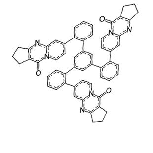 O=c1c2c(nc3cc(-c4ccccc4-c4cc(-c5ccccc5-c5ccn6c(=O)c7c(nc6c5)CCC7)cc(-c5ccccc5-c5ccn6c(=O)c7c(nc6c5)CCC7)c4)ccn13)CCC2